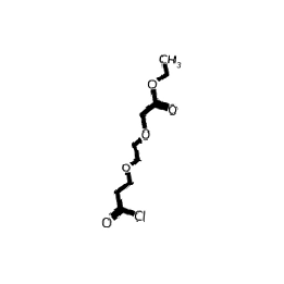 CCOC(=O)COCCOCCC(=O)Cl